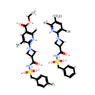 CCOC(=O)c1cc(C#N)c(N2CC(C(=O)NS(=O)(=O)Cc3ccccc3)C2)nc1CC.Cc1nc(N2CC(C(=O)NS(=O)(=O)Cc3ccc(Cl)cc3)C2)c(C#N)cc1C(=O)OCC(F)(F)F